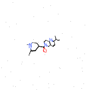 CC(C)c1ccc2c(n1)CCN(C(=O)C1CCN(C)C(C)C1)C2